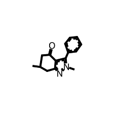 CC1CC(=O)c2c(nn(C)c2-c2ccccc2)C1